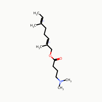 C/C=C(\C)CC/C=C(\C)COC(=O)CCCN(C)C